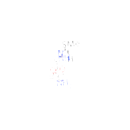 CS/C(C)=N/NCC1OCC(N)CO1